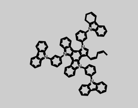 C/C=C\C=C/c1cn(-c2cccc(-n3c4c(c5ccccc53)C=CCC4)c2)c2c1c1c(c3ccccc3n1-c1cccc(-n3c4ccccc4c4ccccc43)c1)c1c2c2ccccc2n1-c1cccc(-n2c3ccccc3c3ccccc32)c1